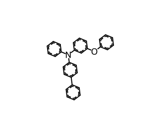 c1ccc(Oc2cccc(N(c3ccccc3)c3ccc(-c4ccccc4)cc3)c2)cc1